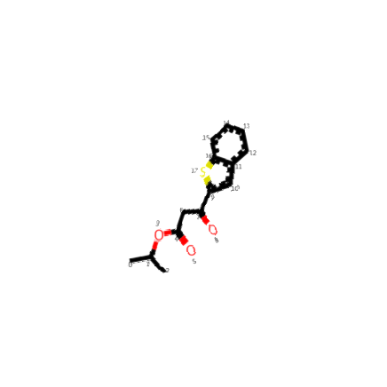 CC(C)OC(=O)CC(=O)c1cc2ccccc2s1